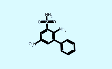 Nc1c(-c2ccccc2)cc([N+](=O)[O-])cc1S(N)(=O)=O